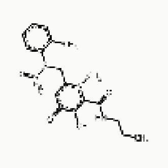 CCCNC(=O)c1c(O)c(=O)cc(CN(c2ccccc2C)[SH](=O)=O)n1C